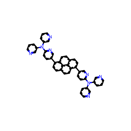 c1cncc(N(c2cccnc2)c2ccc(-c3ccc4ccc5c(-c6ccc(N(c7cccnc7)c7cccnc7)nc6)ccc6ccc3c4c65)cn2)c1